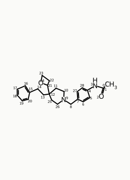 CC(=O)Nc1ccc(CN2CCC(CCc3ccccc3)(C3CCO3)CC2)cc1